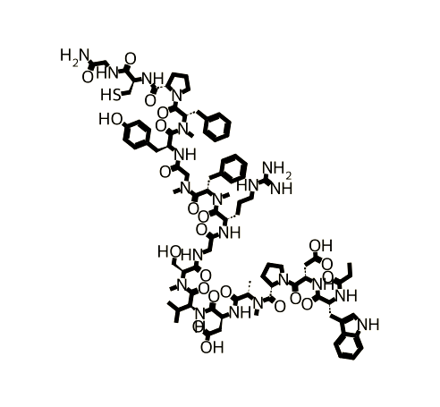 CCC(=O)N[C@H](Cc1c[nH]c2ccccc12)C(=O)N[C@@H](CC(=O)O)C(=O)N1CCC[C@H]1C(=O)N(C)[C@@H](C)C(=O)N[C@@H](CC(=O)O)C(=O)N[C@H](C(=O)N(C)[C@@H](CO)C(=O)NCC(=O)N[C@@H](CCCNC(=N)N)C(=O)N(C)[C@@H](Cc1ccccc1)C(=O)N(C)CC(=O)N[C@@H](Cc1ccc(O)cc1)C(=O)N(C)[C@@H](Cc1ccccc1)C(=O)N1CCC[C@H]1C(=O)N[C@@H](CS)C(=O)NCC(N)=O)C(C)C